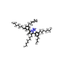 CCCCCCCCC1=C(c2cc(CCCC)cc(CCCCCCC)c2)[N+](=[N-])C(c2cc(CCCC)cc(CCCCCCC)c2)=C1C.[Ni]